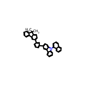 CC1(C)c2ccccc2-c2cc(-c3cccc(-c4ccc5c(c4)c4ccccc4n5-c4cccc5ccccc45)c3)ccc21